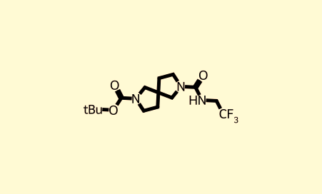 CC(C)(C)OC(=O)N1CCC2(CCN(C(=O)NCC(F)(F)F)C2)C1